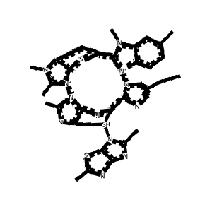 Cc1ccc2c(c1)n(C)c1c3cc4c(s3)[n+](c(C)n4C)n3c(C)nc4c3nc(c3nc5cc(C)sc5n3[n+]21)[SH]4n1c(C)nc2nc(C)sc21